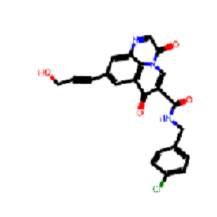 O=C(NCc1ccc(Cl)cc1)c1cn2c(=O)cnc3cc(C#CCO)cc(c1=O)c32